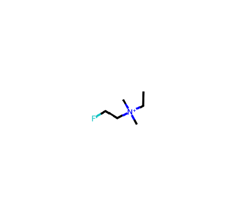 CC[N+](C)(C)CCF